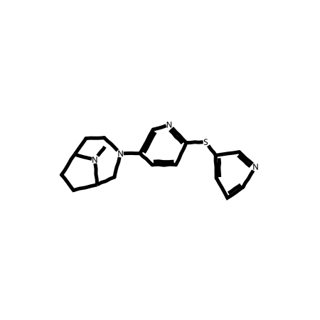 CN1C2CCC1CN(c1ccc(Sc3cccnc3)nc1)CC2